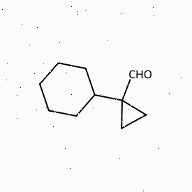 O=CC1(C2CCCCC2)CC1